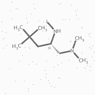 CN(C)C[C@H](CC(C)(C)C)NI